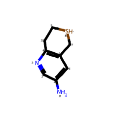 Nc1cnc2c(c1)C[SH]CC2